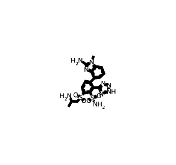 CC(N)CS(=O)(=O)c1ccc(-c2cccc3c2nc(N)n3C)c(-c2nn[nH]n2)c1S(N)(=O)=O